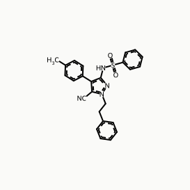 Cc1ccc(-c2c(NS(=O)(=O)c3ccccc3)nn(CCc3ccccc3)c2C#N)cc1